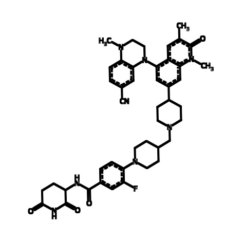 Cc1cc2c(N3CCN(C)c4ccc(C#N)cc43)cc(C3CCN(CC4CCN(c5ccc(C(=O)NC6CCC(=O)NC6=O)cc5F)CC4)CC3)cc2n(C)c1=O